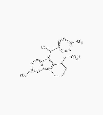 CCCCc1ccc2c(c1)c1c(n2C(CC)c2ccc(C(F)(F)F)cc2)C(CC(=O)O)CCC1